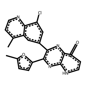 Cc1ccc(-c2nc3[nH]ccc(=O)c3nc2-c2cc(Cl)c3nccc(C)c3c2)o1